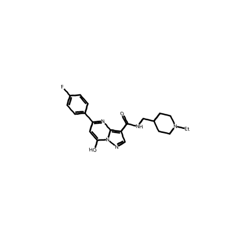 CCN1CCC(CNC(=O)c2cnn3c(O)cc(-c4ccc(F)cc4)nc23)CC1